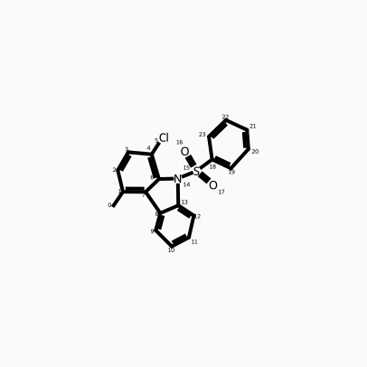 Cc1ccc(Cl)c2c1c1ccccc1n2S(=O)(=O)c1ccccc1